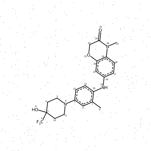 Cc1cc(N2CCC(O)(C(F)(F)F)CC2)ccc1Nc1ccc2c(c1)OCC(=O)N2C